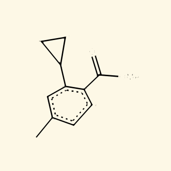 COC(=O)c1ccc(C)cc1C1CC1